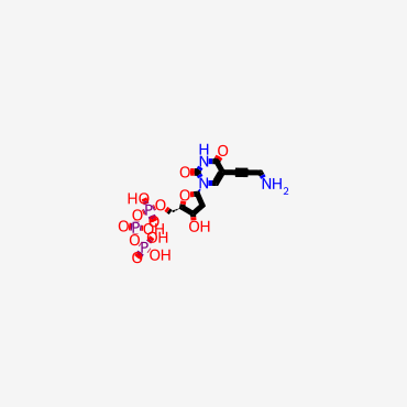 NCC#Cc1cn([C@@H]2CC(O)[C@H](COP(=O)(O)OP(=O)(O)OP(=O)(O)O)O2)c(=O)[nH]c1=O